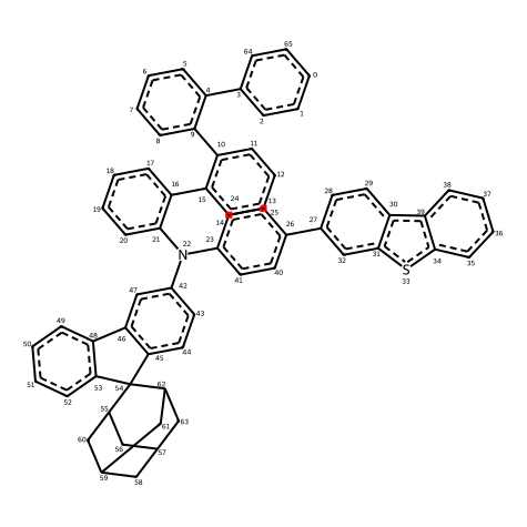 c1ccc(-c2ccccc2-c2ccccc2-c2ccccc2N(c2ccc(-c3ccc4c(c3)sc3ccccc34)cc2)c2ccc3c(c2)-c2ccccc2C32C3CC4CC(C3)CC2C4)cc1